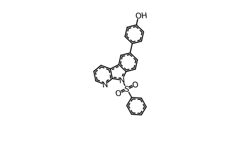 O=S(=O)(c1ccccc1)n1c2ccc(-c3ccc(O)cc3)cc2c2cccnc21